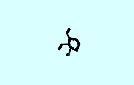 C=Cc1cccc(O)c1C=C